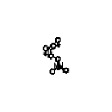 CC1(C)c2ccccc2-c2cc3c4cccc5c4n(c3cc21)-c1cc(-c2cccc(-c3nc(-c4ccccc4)cc(-c4ccccc4)n3)c2)ccc1C5(C)C